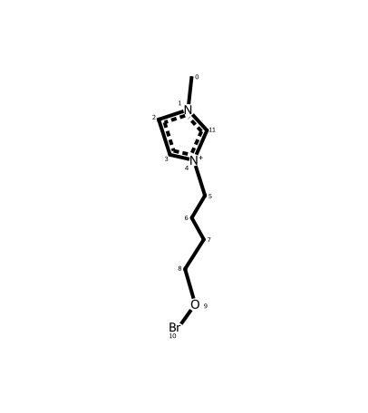 Cn1cc[n+](CCCCOBr)c1